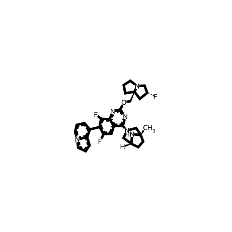 C[C@]12CC[C@H](CN(c3nc(OC[C@@]45CCCN4C[C@H](F)C5)nc4c(F)c(-c5cccn6cccc56)c(F)cc34)C1)N2